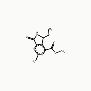 CCC1NC(=O)c2nc(C)nc(C(=O)OC)c21